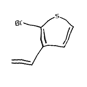 C=Cc1ccsc1Br